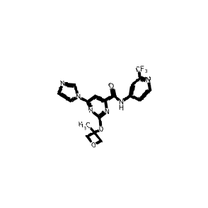 CC1(Oc2nc(C(=O)Nc3ccnc(C(F)(F)F)c3)cc(-n3ccnc3)n2)COC1